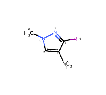 Cn1cc([N+](=O)[O-])c(I)n1